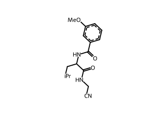 COc1cccc(C(=O)NC(CC(C)C)C(=O)NCC#N)c1